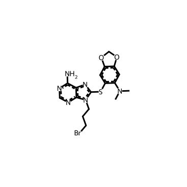 CN(C)c1cc2c(cc1Sc1nc3c(N)ncnc3n1CCCBr)OCO2